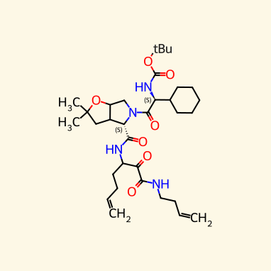 C=CCCNC(=O)C(=O)C(CCC=C)NC(=O)[C@@H]1C2CC(C)(C)OC2CN1C(=O)[C@@H](NC(=O)OC(C)(C)C)C1CCCCC1